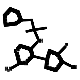 CC(C)(Cc1ccccc1)Nc1cnc(N)nc1-c1ccc(C#N)c(F)c1